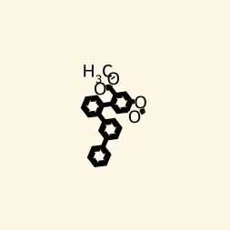 COC(=O)c1cc2c(cc1-c1ccccc1-c1cccc(-c3ccccc3)c1)OCO2